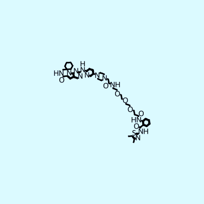 Cc1nc(NC(=O)c2ccccc2NC(=O)CCOCCOCCOCCNC(=O)CN2CCN(c3ccc(Nc4ncc5cc6n(c5n4)C4(CCCCC4)CNC6=O)nc3)CC2)sc1C